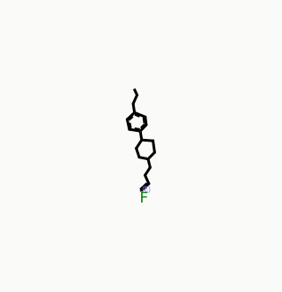 CCCc1ccc(C2CCC(CC/C=C/F)CC2)cc1